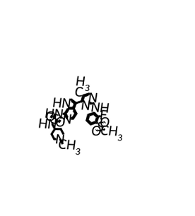 Cc1cnc(Nc2cccc(S(C)(=O)=O)c2F)nc1-c1c[nH]c2c(NS(=O)(=O)NC3CCN(C)CC3)nccc12